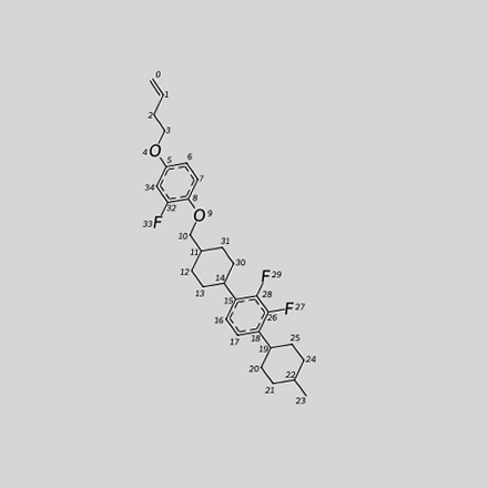 C=CCCOc1ccc(OCC2CCC(c3ccc(C4CCC(C)CC4)c(F)c3F)CC2)c(F)c1